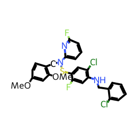 COc1ccc(CN(Sc2cc(Cl)c(NCc3ccccc3Cl)cc2F)c2cccc(F)n2)c(OC)c1